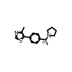 Cc1ncsc1-c1ccc([C@H](C)N2CCCC2)cc1